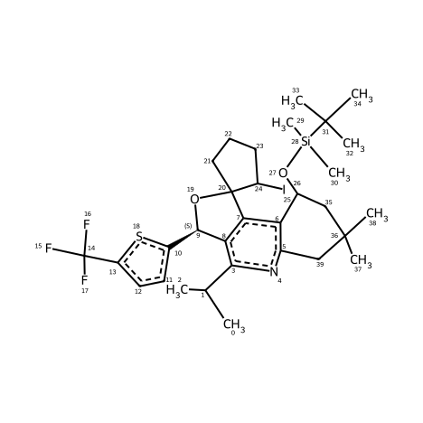 CC(C)c1nc2c(c3c1[C@@H](c1ccc(C(F)(F)F)s1)OC31CCCC1I)C(O[Si](C)(C)C(C)(C)C)CC(C)(C)C2